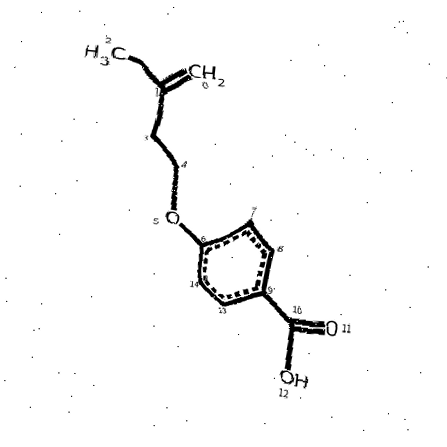 C=C(C)CCOc1ccc(C(=O)O)cc1